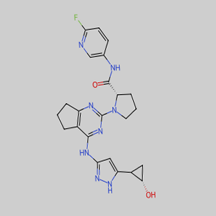 O=C(Nc1ccc(F)nc1)[C@@H]1CCCN1c1nc2c(c(Nc3cc(C4C[C@@H]4O)[nH]n3)n1)CCC2